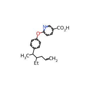 C=CCC(CC)C(C)c1ccc(Oc2ccc(C(=O)O)cn2)cc1